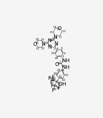 O=C(Nc1ccc(-c2nc(N3CCOCC3)nc(N3CCOCC3)n2)cc1)Nc1ccc(C(O)(C(F)(F)F)C(F)(F)F)cc1